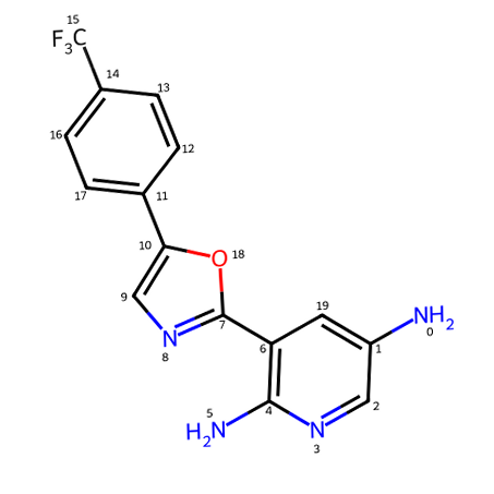 Nc1cnc(N)c(-c2ncc(-c3ccc(C(F)(F)F)cc3)o2)c1